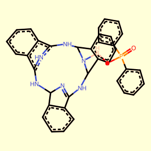 O=P(OBN1C2NC3=NC(Nc4[nH]c(c5ccccc45)NC1c1ccccc12)c1ccccc13)(c1ccccc1)c1ccccc1